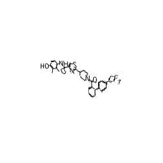 Cc1c(O)ccc(NC(=O)c2csc(C3CCN(C(=O)c4ccccc4-c4ccc(C(F)(F)F)cc4)CC3)n2)c1C